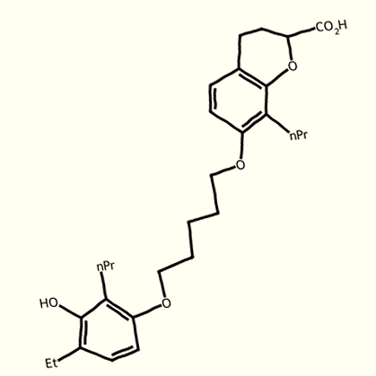 CCCc1c(OCCCCCOc2ccc3c(c2CCC)OC(C(=O)O)CC3)ccc(CC)c1O